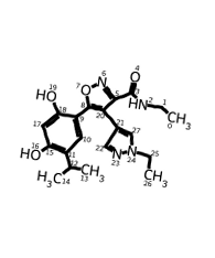 CCNC(=O)c1noc(-c2cc(C(C)C)c(O)cc2O)c1-c1cnn(CC)c1